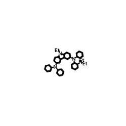 CCN(CC)c1ccccc1N(c1ccccc1)c1ccc2c(c1)c1cc(N(c3ccccc3)c3ccccc3)ccc1n2CC